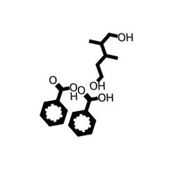 CC(CO)C(C)CCO.O=C(O)c1ccccc1.O=C(O)c1ccccc1